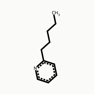 CCC[CH]Cc1ccccn1